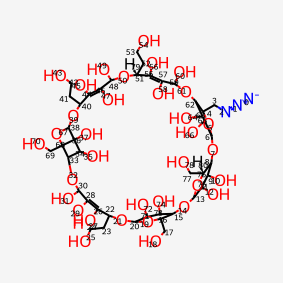 [N-]=[N+]=NCC1OC2OC3C(O)C(O)C(OC4C(CO)OC(OC(CCO)/C(O)=C(/O)C(O)OC5C(O)C6(O)C(OC(CCO)/C(O)=C(\O)C(O)O[C@H](CCO)/C(O)=C(\O)C(O)OC1C(O)C2O)OC56CO)C(O)C4O)O[C@@H]3CO